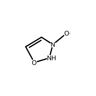 [O]N1C=CON1